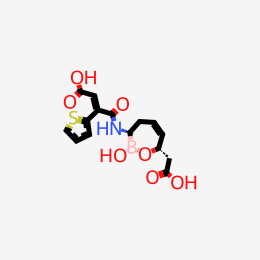 O=C(O)/C=C(/C(=O)N[C@H]1CC=C[C@H](CC(=O)O)OB1O)c1cccs1